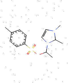 Cc1ccc(S(=O)(=O)OC(C)N2C=CN(C)C2C)cc1